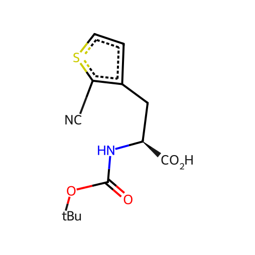 CC(C)(C)OC(=O)N[C@@H](Cc1ccsc1C#N)C(=O)O